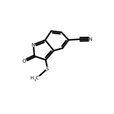 CSC1=c2cc(C#N)ccc2=NC1=O